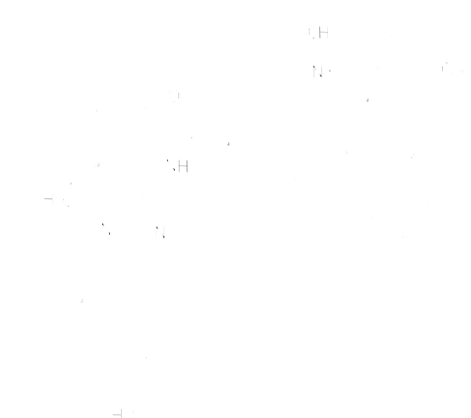 C=Cc1ccc2c(c1)nc(C1(NC(=O)c3ccc4c(C5CCCC5)c(-c5ccoc5)n(C)c4c3)CCC1)n2C